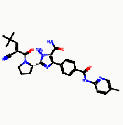 Cc1ccc(NC(=O)c2ccc(-c3nc([C@@H]4CCCN4C(=O)/C(C#N)=C/C(C)(C)C)n(N)c3C(N)=O)cc2)nc1